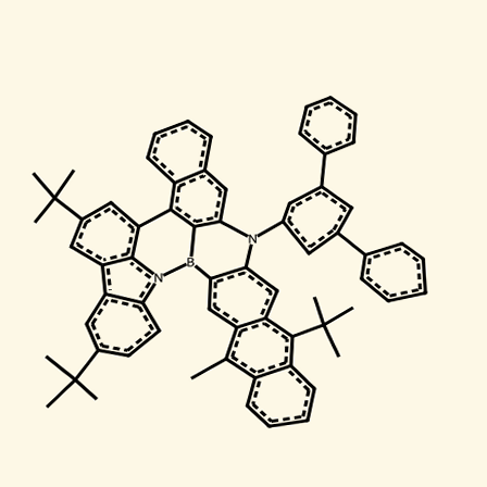 Cc1c2ccccc2c(C(C)(C)C)c2cc3c(cc12)B1c2c(cc4ccccc4c2-c2cc(C(C)(C)C)cc4c5cc(C(C)(C)C)ccc5n1c24)N3c1cc(-c2ccccc2)cc(-c2ccccc2)c1